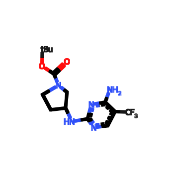 CC(C)(C)OC(=O)N1CCC(Nc2ncc(C(F)(F)F)c(N)n2)C1